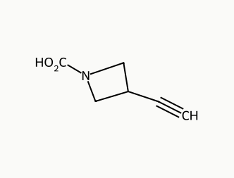 C#CC1CN(C(=O)O)C1